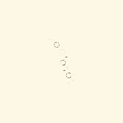 CNc1ccc(C2CCN(C(=O)c3cnnc(NC(=O)c4ccc(NC(C)C)nc4)c3)CC2)cc1